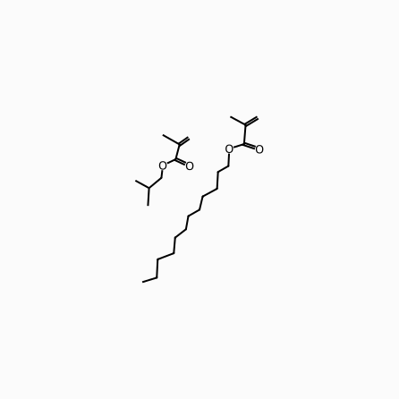 C=C(C)C(=O)OCC(C)C.C=C(C)C(=O)OCCCCCCCCCCCC